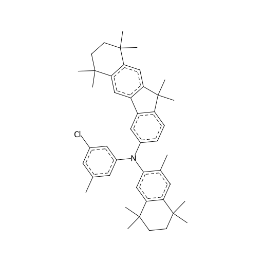 Cc1cc(Cl)cc(N(c2ccc3c(c2)-c2cc4c(cc2C3(C)C)C(C)(C)CCC4(C)C)c2cc3c(cc2C)C(C)(C)CCC3(C)C)c1